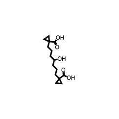 O=C(O)C1(CCCC(O)CCCC2(C(=O)O)CC2)CC1